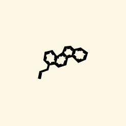 C=CCc1cccc2c1ccc1c3ccccc3ccc21